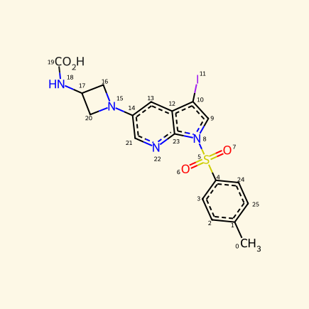 Cc1ccc(S(=O)(=O)n2cc(I)c3cc(N4CC(NC(=O)O)C4)cnc32)cc1